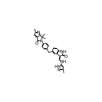 Cc1cc(N/C=C2\C(=O)Nc3ccc(Cc4ccc(N5C(=O)c6cc(C)nn6C5(C)C)cc4)cc32)[nH]n1